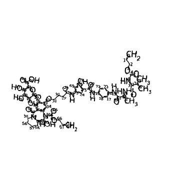 C=CCOC(=O)N[C@H](C(=O)N[C@@H](C)C(=O)Nc1ccc(NC(=O)c2cc(NC(=O)CCCOc3cc4c(cc3O[C@@H]3O[C@H](C(=O)O)[C@@H](O)[C@H](O)[C@H]3O)C(=O)N3CCCC[C@H]3C(O)N4C(=O)OCC=C)cn2C)cc1)C(C)C